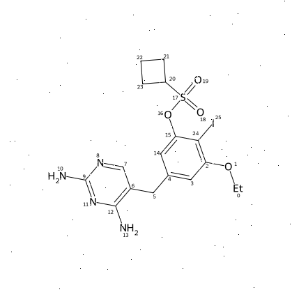 CCOc1cc(Cc2cnc(N)nc2N)cc(OS(=O)(=O)C2CCC2)c1I